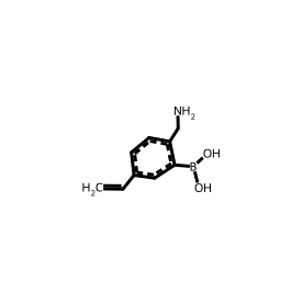 C=Cc1ccc(CN)c(B(O)O)c1